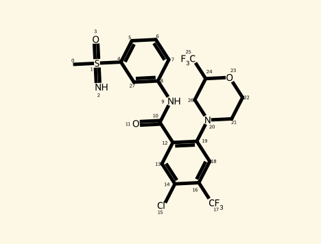 CS(=N)(=O)c1cccc(NC(=O)c2cc(Cl)c(C(F)(F)F)cc2N2CCOC(C(F)(F)F)C2)c1